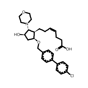 O=C(O)CC/C=C\CC[C@@H]1[C@@H](N2CCOCC2)[C@H](O)C[C@@H]1OCc1ccc(-c2ccc(Cl)cc2)cc1